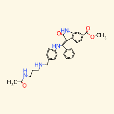 COC(=O)c1ccc2c(c1)NC(=O)/C2=C(\Nc1ccc(CNCCCNC(C)=O)cc1)c1ccccc1